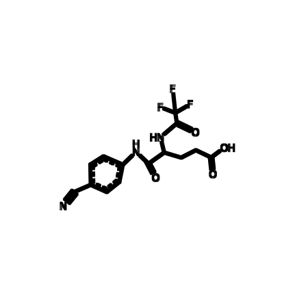 N#Cc1ccc(NC(=O)C(CCC(=O)O)NC(=O)C(F)(F)F)cc1